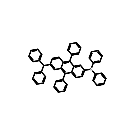 c1ccc(-c2c3ccc(N(c4ccccc4)c4ccccc4)cc3c(-c3ccccc3)c3ccc(C(c4ccccc4)c4ccccc4)cc23)cc1